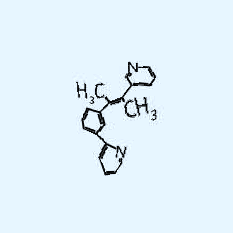 C/C(=C(/C)c1cccc(-c2ccccn2)c1)c1cccnc1